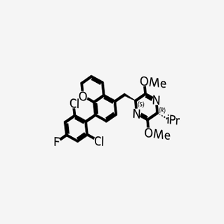 COC1=N[C@H](C(C)C)C(OC)=N[C@H]1Cc1ccc(-c2c(Cl)cc(F)cc2Cl)c2c1C=CCO2